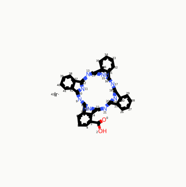 O=C(O)c1cccc2c3nc4nc(nc5[nH]c(nc6nc(nc([nH]3)c12)-c1ccccc1-6)c1ccccc51)-c1ccccc1-4.[Ir]